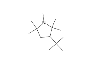 CN1C(C)(C)CC(C(C)(C)C)C1(C)C